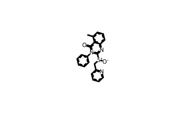 Cc1cccc2nc([S+]([O-])Cc3ccccn3)n(-c3ccccc3)c(=O)c12